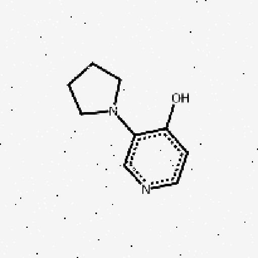 Oc1ccn[c]c1N1CCCC1